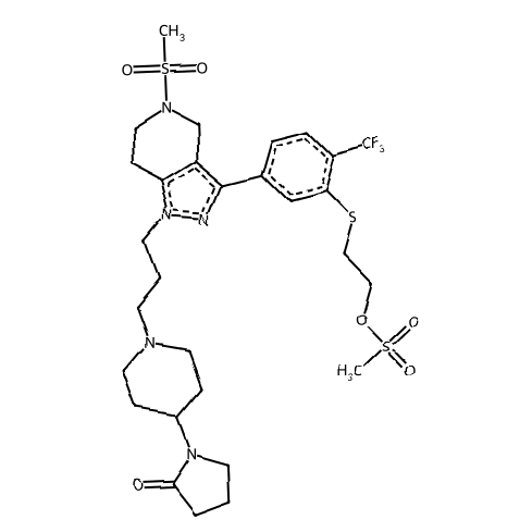 CS(=O)(=O)OCCSc1cc(-c2nn(CCCN3CCC(N4CCCC4=O)CC3)c3c2CN(S(C)(=O)=O)CC3)ccc1C(F)(F)F